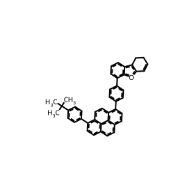 CC(C)(C)c1ccc(-c2ccc3ccc4ccc(-c5ccc(-c6cccc7c8c(oc67)C=CCC8)cc5)c5ccc2c3c45)cc1